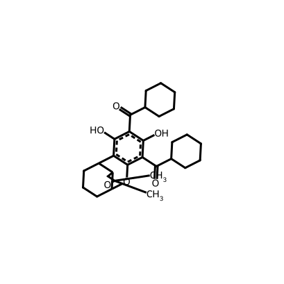 CC1(C)CC2C3CCCC2(Oc2c(C(=O)C4CCCCC4)c(O)c(C(=O)C4CCCCC4)c(O)c23)O1